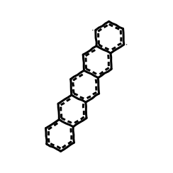 [c]1cc[c]c2cc3cc4cc5ccccc5cc4cc3cc12